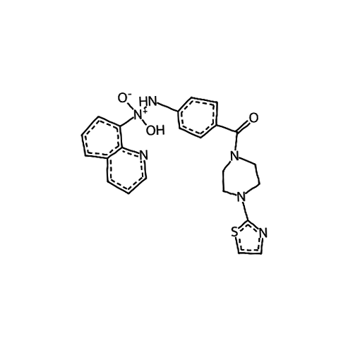 O=C(c1ccc(N[N+]([O-])(O)c2cccc3cccnc23)cc1)N1CCN(c2nccs2)CC1